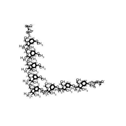 CC[N+]1=C(C)C(C)(C)c2cc(OC)ccc21.CC[N+]1=C(C)C(C)(C)c2cc(OC)ccc21.CC[N+]1=C(C)C(C)(C)c2cc(OC)ccc21.CC[N+]1=C(C)C(C)(C)c2cc(OC)ccc21.CC[N+]1=C(C)C(C)(C)c2cc(OC)ccc21.CC[N+]1=C(C)C(C)(C)c2cc(OC)ccc21.CC[N+]1=C(C)C(C)(C)c2cc(OC)ccc21.CC[N+]1=C(C)C(C)(C)c2cc(OC)ccc21.[O-]B([O-])F.[O-]B([O-])F.[O-]B([O-])F.[O-]B([O-])F